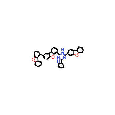 c1ccc(C2N=C(c3ccc4c(c3)oc3ccccc34)NC(c3cccc4c3oc3ccc(-c5cccc6oc7ccccc7c56)cc34)N2)cc1